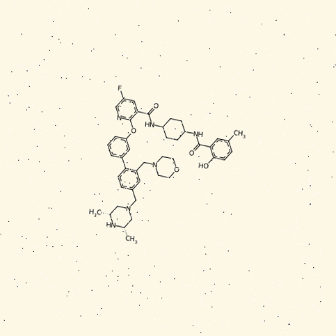 Cc1ccc(O)c(C(=O)NC2CCC(NC(=O)c3cc(F)cnc3Oc3cccc(-c4ccc(CN5C[C@@H](C)N[C@@H](C)C5)cc4CN4CCOCC4)c3)CC2)c1